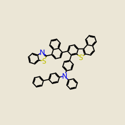 c1ccc(-c2ccc(N(c3ccccc3)c3ccc(-c4c(-c5ccc(-c6nc7ccccc7s6)c6ccccc56)ccc5c4sc4ccc6ccccc6c45)cc3)cc2)cc1